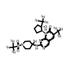 [2H]C1(Nc2ncc3cc(C([2H])([2H])[2H])c(=O)n([C@H]4CCC[C@@]4(O)C([2H])([2H])[2H])c3n2)CCN(S(=O)(=O)C([2H])([2H])[2H])CC1